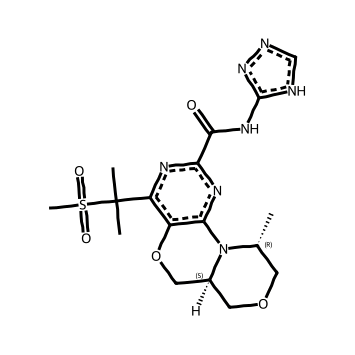 C[C@@H]1COC[C@H]2COc3c(nc(C(=O)Nc4nnc[nH]4)nc3C(C)(C)S(C)(=O)=O)N21